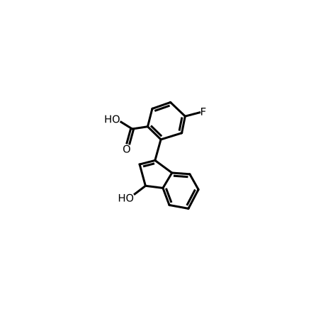 O=C(O)c1ccc(F)cc1C1=CC(O)c2ccccc21